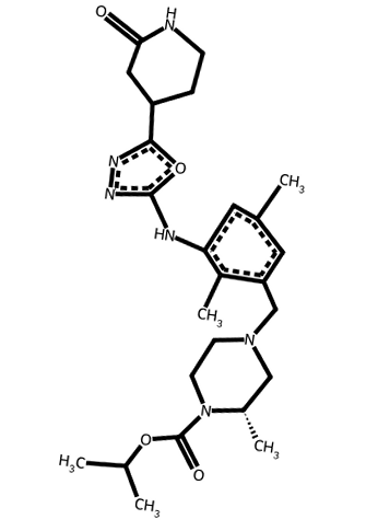 Cc1cc(CN2CCN(C(=O)OC(C)C)[C@@H](C)C2)c(C)c(Nc2nnc(C3CCNC(=O)C3)o2)c1